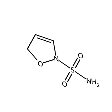 NS(=O)(=O)N1C=CCO1